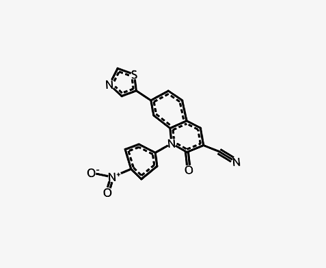 N#Cc1cc2ccc(-c3cncs3)cc2n(-c2ccc([N+](=O)[O-])cc2)c1=O